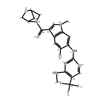 CNc1nc(Nc2cc3c(cc2Cl)c(C(=O)N2CC4CC2CO4)cn3C)ncc1C(F)(F)F